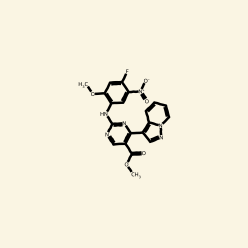 COC(=O)c1cnc(Nc2cc([N+](=O)[O-])c(F)cc2OC)nc1-c1cnn2ccccc12